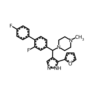 CN1CCN(C(c2ccc(-c3ccc(F)cc3)c(F)c2)c2cn[nH]c2-c2ccco2)CC1